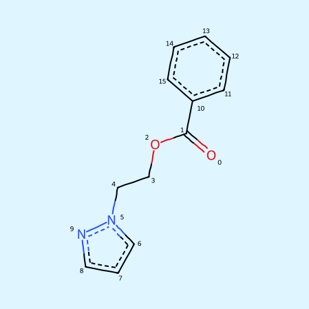 O=C(OCCn1cccn1)c1ccccc1